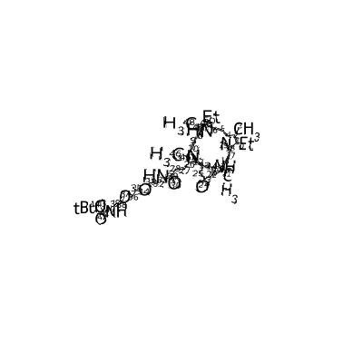 CCC1=C(C)c2cc3[nH]c(cc4nc(c5c6[nH]c(cc1n2)c(C)c6C(=O)C5)C(CCC(=O)NCCOCCOCCNC(=O)OC(C)(C)C)=C4C)c(C)c3CC